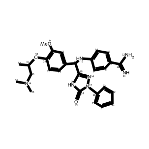 COc1cc(C(Nc2ccc(C(=N)N)cc2)c2nn(-c3ccccc3)c(=O)[nH]2)ccc1OC(C)CN(C)C